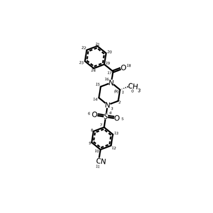 C[C@@H]1CN(S(=O)(=O)c2ccc(C#N)cc2)CCN1C(=O)c1ccccc1